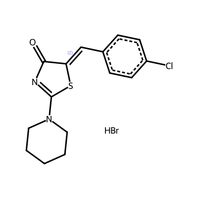 Br.O=C1N=C(N2CCCCC2)S/C1=C\c1ccc(Cl)cc1